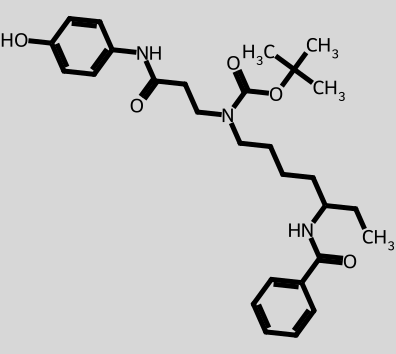 CCC(CCCCN(CCC(=O)Nc1ccc(O)cc1)C(=O)OC(C)(C)C)NC(=O)c1ccccc1